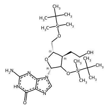 CC(C)(C)[Si](C)(C)OC[C@H]1O[C@@H](n2cnc3c(=O)[nH]c(N)nc32)C(O[Si](C)(C)C(C)(C)C)[C@@H]1CCO